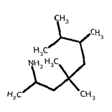 CC(N)CC(C)(C)CC(C)C(C)C